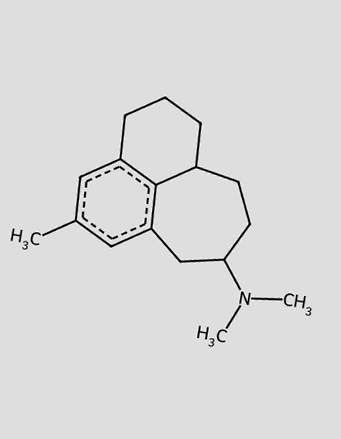 Cc1cc2c3c(c1)CC(N(C)C)CCC3CCC2